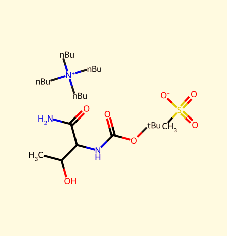 CC(O)C(NC(=O)OC(C)(C)C)C(N)=O.CCCC[N+](CCCC)(CCCC)CCCC.CS(=O)(=O)[O-]